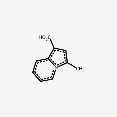 Cc1cc(C(=O)O)c2ccccn12